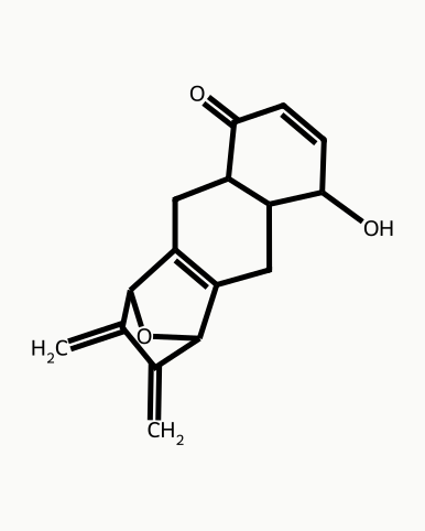 C=C1C(=C)C2OC1C1=C2CC2C(O)C=CC(=O)C2C1